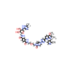 CC1(C)C(=O)c2ccc(-c3cnc(N4CCN5C(=O)N(CCOCCNC(=O)c6ccc(C(=O)NC[C@H]7OC[C@H](Nc8cncc(C(F)(F)F)n8)[C@@H](O)[C@H]7O)cc6)C[C@@H]5C4)nc3)nc2N1Cc1cccnc1C#N